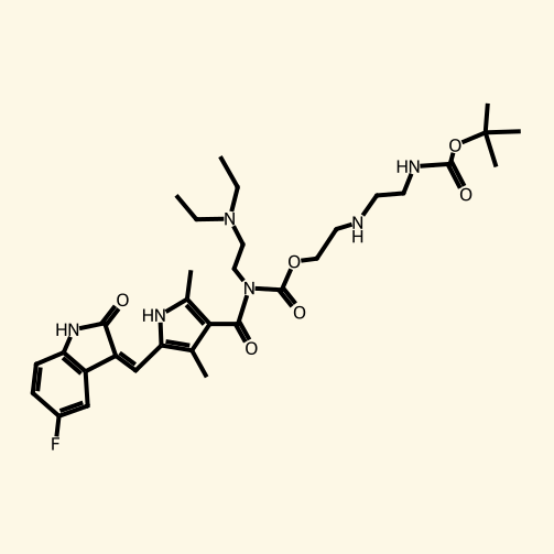 CCN(CC)CCN(C(=O)OCCNCCNC(=O)OC(C)(C)C)C(=O)c1c(C)[nH]c(/C=C2\C(=O)Nc3ccc(F)cc32)c1C